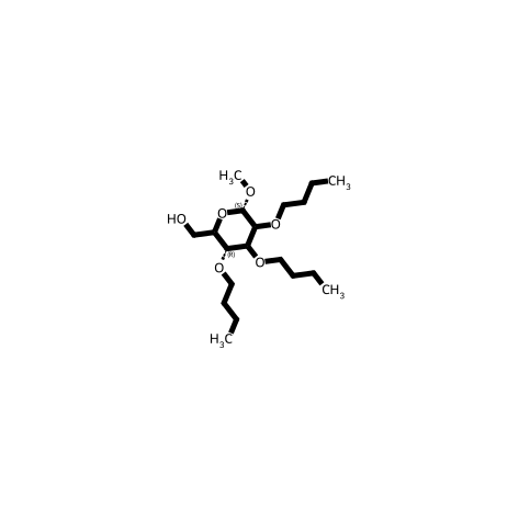 CCCCOC1C(OCCCC)[C@H](OCCCC)C(CO)O[C@@H]1OC